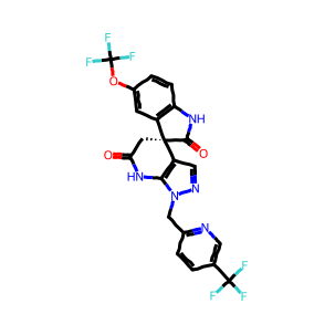 O=C1C[C@]2(C(=O)Nc3ccc(OC(F)(F)F)cc32)c2cnn(Cc3ccc(C(F)(F)F)cn3)c2N1